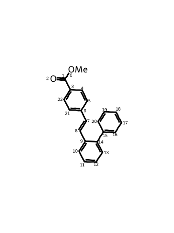 COC(=O)c1ccc(/C=C/c2ccccc2-c2ccccc2)cc1